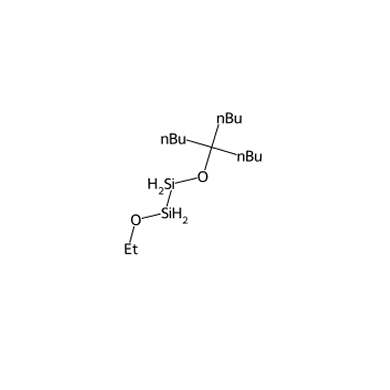 CCCCC(CCCC)(CCCC)O[SiH2][SiH2]OCC